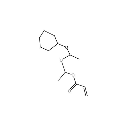 C=CC(=O)OC(C)OC(C)OC1CCCCC1